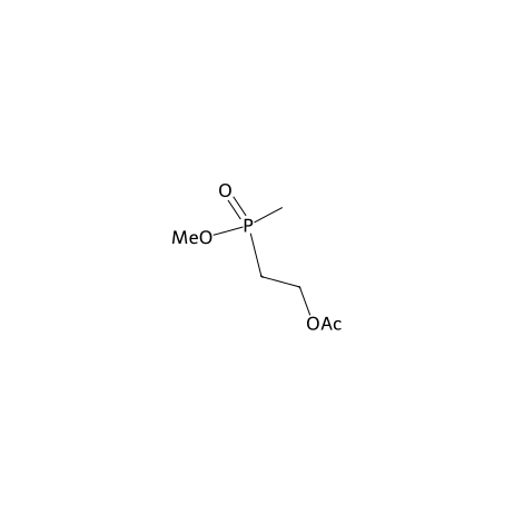 COP(C)(=O)CCOC(C)=O